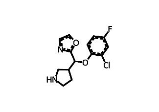 Fc1ccc(O[C@H](c2ncco2)C2CCNC2)c(Cl)c1